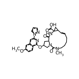 COc1ccc2c(OC3CC4C(=O)NC5(C(=O)O)CC5/C=C/CCCCN(C)C(=O)N4C3)nc(-n3cccn3)cc2c1